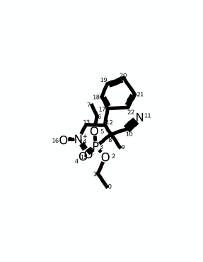 CCOP(=O)(OCC)C(C)(C#N)C(C[N+](=O)[O-])c1ccccc1